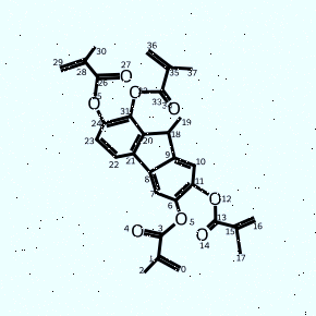 C=C(C)C(=O)Oc1cc2c(cc1OC(=O)C(=C)C)C(C)c1c-2ccc(OC(=O)C(=C)C)c1OC(=O)C(=C)C